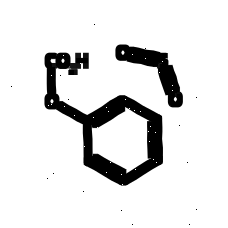 O=C(O)Oc1ccccc1.O=S=O